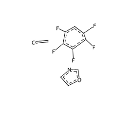 C=O.Fc1cc(F)c(F)c(F)c1F.c1cocn1